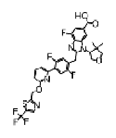 CC1(C)COCC1n1c(Cc2cc(F)c(-c3cccc(OCc4ncc(C(F)(F)F)s4)n3)cc2F)nc2c(F)cc(C(=O)O)cc21